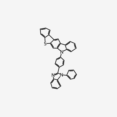 c1ccc(-n2c(-c3ccc(-n4c5ccccc5c5cc6c(cc54)sc4ccccc46)cc3)nc3ccccc32)cc1